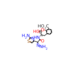 N/N=C(\C(=O)N[C@H]1Cc2cccc(C(=O)O)c2OB1O)c1csc(N)n1